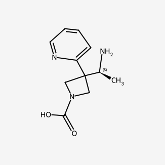 C[C@H](N)C1(c2ccccn2)CN(C(=O)O)C1